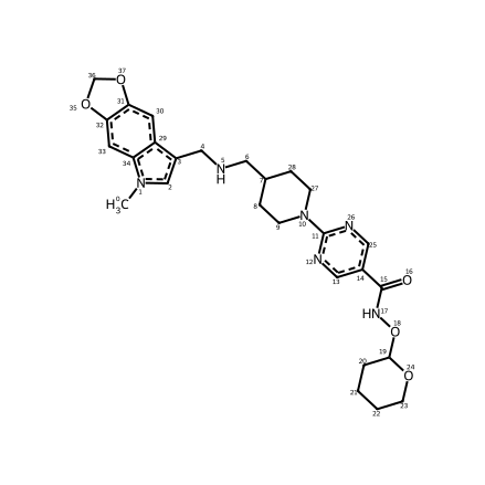 Cn1cc(CNCC2CCN(c3ncc(C(=O)NOC4CCCCO4)cn3)CC2)c2cc3c(cc21)OCO3